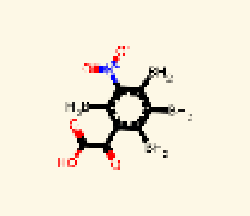 Bc1c(B)c(C(=O)C(=O)O)c(B)c([N+](=O)[O-])c1B